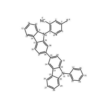 N#Cc1cc(F)cnc1-n1c2ccccc2c2ccc(-c3ccc4c(c3)c3ccccc3n4-c3ccccc3)cc21